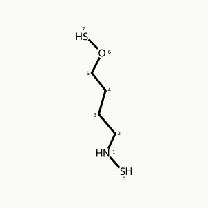 SNCCCCOS